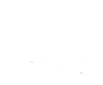 CCOC(=O)CCCCOc1cc(CCN2CC=C(c3cccc(C(F)(F)F)c3)CC2)ccc1-c1ccccc1.Cl